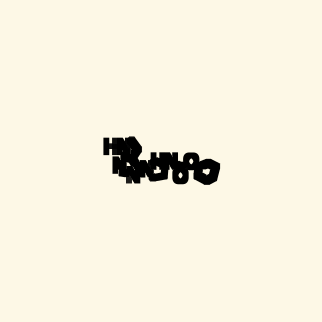 O=C(NC1CCN(c2ncnc3[nH]ccc23)C1)Oc1ccccc1